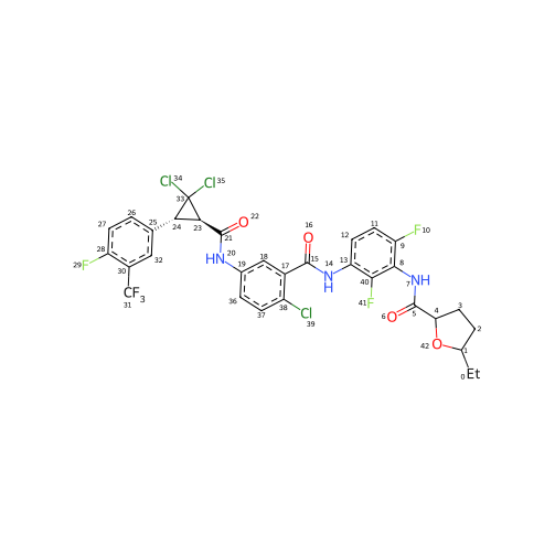 CCC1CCC(C(=O)Nc2c(F)ccc(NC(=O)c3cc(NC(=O)[C@H]4[C@H](c5ccc(F)c(C(F)(F)F)c5)C4(Cl)Cl)ccc3Cl)c2F)O1